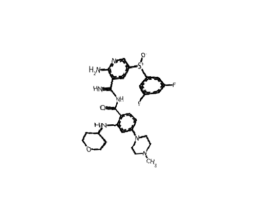 CN1CCN(c2ccc(C(=O)NC(=N)c3cc([S+]([O-])c4cc(F)cc(F)c4)cnc3N)c(NC3CCOCC3)c2)CC1